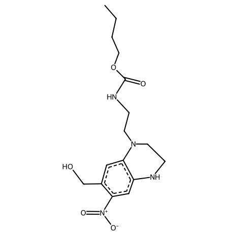 CCCCOC(=O)NCCN1CCNc2cc([N+](=O)[O-])c(CO)cc21